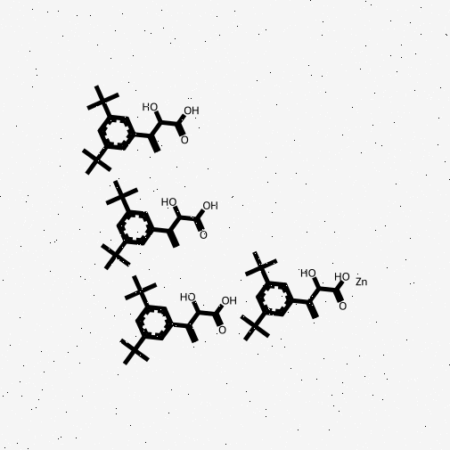 C=C(c1cc(C(C)(C)C)cc(C(C)(C)C)c1)C(O)C(=O)O.C=C(c1cc(C(C)(C)C)cc(C(C)(C)C)c1)C(O)C(=O)O.C=C(c1cc(C(C)(C)C)cc(C(C)(C)C)c1)C(O)C(=O)O.C=C(c1cc(C(C)(C)C)cc(C(C)(C)C)c1)C(O)C(=O)O.[Zn]